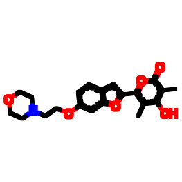 Cc1c(-c2cc3ccc(OCCN4CCOCC4)cc3o2)oc(=O)c(C)c1O